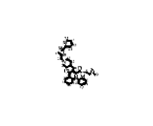 CN(C)CCOC(=O)c1c(CC2CCN(Cc3cnc(-c4ccccn4)s3)CC2)c(=O)c2ccccc2n1-c1ccccc1